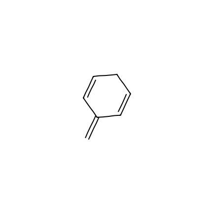 C=C1C=CCC=C1